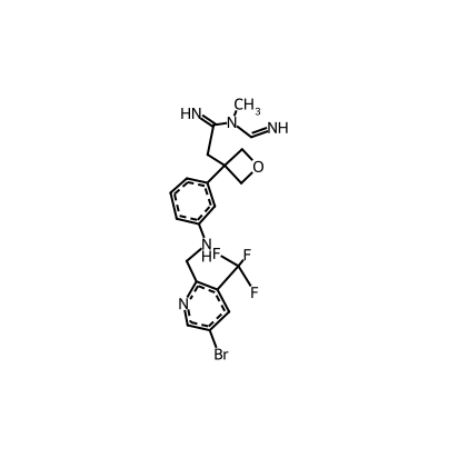 CN(C=N)C(=N)CC1(c2cccc(NCc3ncc(Br)cc3C(F)(F)F)c2)COC1